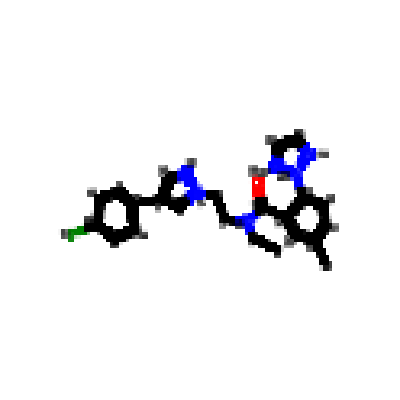 CCN(CCn1cc(-c2ccc(F)cc2)cn1)C(=O)c1cc(C)ccc1-n1nccn1